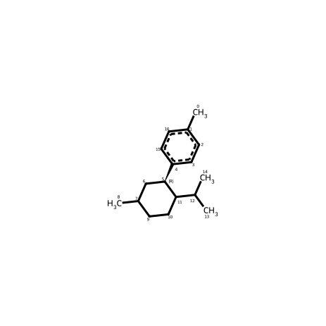 Cc1ccc([C@@H]2CC(C)CCC2C(C)C)cc1